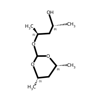 C[C@@H]1C[C@H](C)OC(O[C@@H](C)C[C@@H](C)O)O1